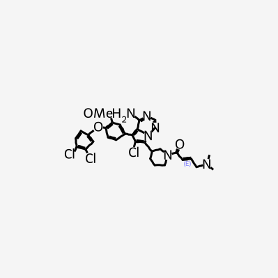 COc1cc(-c2c(Cl)c(C3CCCN(C(=O)/C=C/CN(C)C)C3)n3ncnc(N)c23)ccc1Oc1ccc(Cl)c(Cl)c1